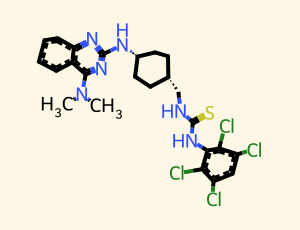 CN(C)c1nc(N[C@H]2CC[C@@H](CNC(=S)Nc3c(Cl)c(Cl)cc(Cl)c3Cl)CC2)nc2ccccc12